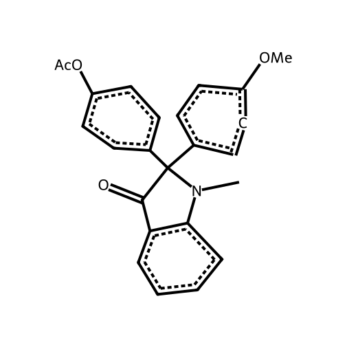 COc1ccc(C2(c3ccc(OC(C)=O)cc3)C(=O)c3ccccc3N2C)cc1